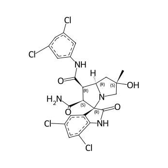 C[C@]1(O)C[C@@H]2[C@H](C(=O)Nc3cc(Cl)cc(Cl)c3)[C@H](C(N)=O)[C@@]3(C(=O)Nc4c(Cl)cc(Cl)cc43)N2C1